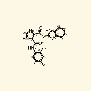 Cc1ccc(NC(=O)c2[nH]cnc2C(=O)Nc2nc3ccccc3[nH]2)c(C)c1